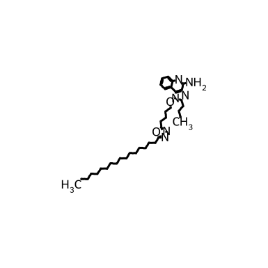 CCCCCCCCCCCCCCCCCc1nnc(CCCCOn2c(CCCC)nc3c(N)nc4ccccc4c32)o1